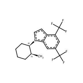 C[C@H]1CCCC[C@H]1n1ccc2c(C(F)(F)F)cc(C(F)(F)F)cc21